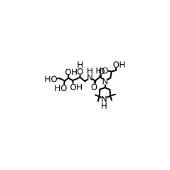 CC1(C)CC(N(CC(O)CO)C(=O)C(=O)NCC(O)C(O)C(O)C(O)CO)CC(C)(C)N1